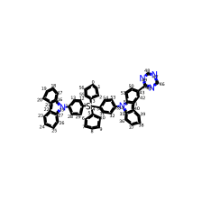 c1ccc([Si](c2ccccc2)(c2ccc(-n3c4ccccc4c4ccccc43)cc2)c2ccc(-n3c4ccccc4c4cc(-c5ncncn5)ccc43)cc2)cc1